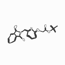 CC(C)(C)OC(=O)COc1cccc(CN2C(=O)c3ccccc3C2=O)n1